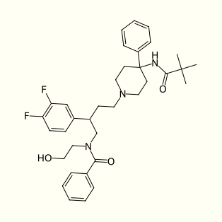 CC(C)(C)C(=O)NC1(c2ccccc2)CCN(CCC(CN(CCO)C(=O)c2ccccc2)c2ccc(F)c(F)c2)CC1